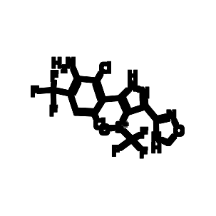 Nc1c(C(F)(F)F)cc(Cl)c(-c2[nH]nc(C3=NOCN3)c2[S+]([O-])C(F)(F)F)c1Cl